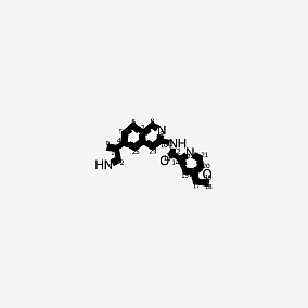 C=C(C=N)c1ccc2cnc(NC(=O)c3cc4ccoc4cn3)cc2c1